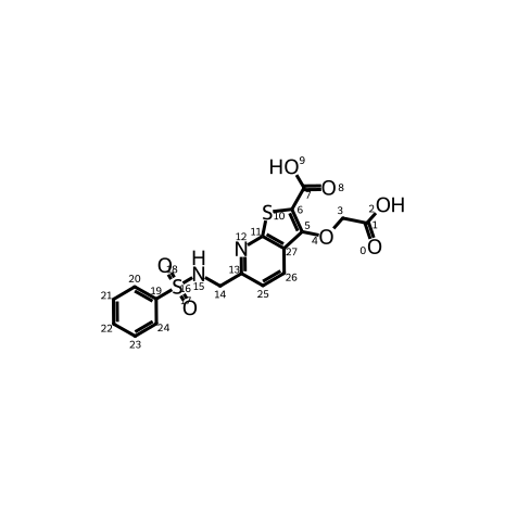 O=C(O)COc1c(C(=O)O)sc2nc(CNS(=O)(=O)c3ccccc3)ccc12